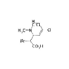 CC(C)C(C(=O)O)C(C=C(Cl)Cl)N(C)C